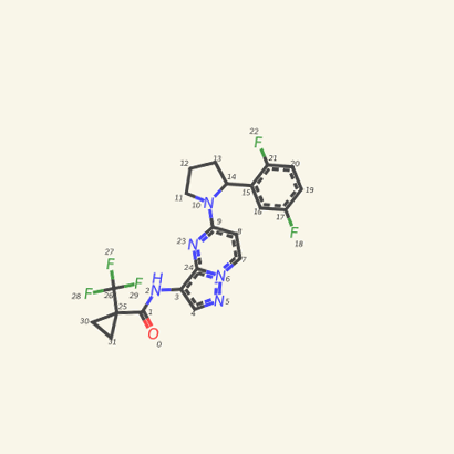 O=C(Nc1cnn2ccc(N3CCCC3c3cc(F)ccc3F)nc12)C1(C(F)(F)F)CC1